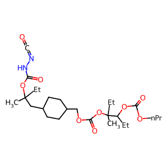 CCCOC(=O)OC(CC)C(C)(CC)OC(=O)OCC1CCC(CC(C)(CC)OC(=O)NN=C=O)CC1